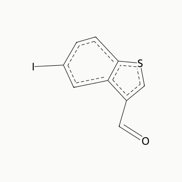 O=Cc1csc2ccc(I)cc12